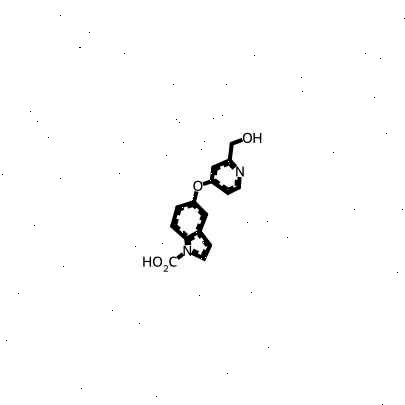 O=C(O)n1ccc2cc(Oc3ccnc(CO)c3)ccc21